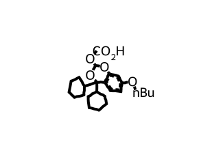 CCCCOc1ccc2c(c1)OC(OC(=O)O)OC2(C1CCCCC1)C1CCCCC1